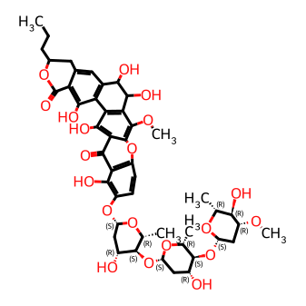 CCCC1Cc2cc3c(c(O)c2C(=O)O1)-c1c(c(OC)c2oc4ccc(O[C@H]5C[C@@H](O)[C@H](O[C@H]6C[C@@H](O)[C@H](O[C@H]7C[C@@H](OC)[C@H](O)[C@@H](C)O7)[C@@H](C)O6)[C@@H](C)O5)c(O)c4c(=O)c2c1O)C(O)C3O